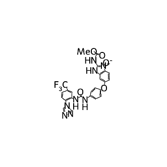 COC(=O)Nc1[nH]c2cc(Oc3ccc(NC(=O)Nc4cc(C(F)(F)F)ccc4-n4cnnc4)cc3)ccc2[n+]1[O-]